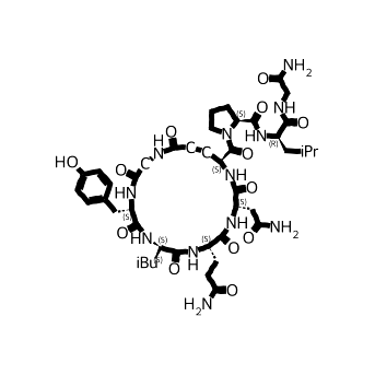 CC[C@H](C)[C@@H]1NC(=O)[C@H](Cc2ccc(O)cc2)NC(=O)CNC(=O)CC[C@@H](C(=O)N2CCC[C@H]2C(=O)N[C@H](CC(C)C)C(=O)NCC(N)=O)NC(=O)[C@H](CC(N)=O)NC(=O)[C@H](CCC(N)=O)NC1=O